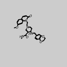 CNC(=O)C1CN(CCn2c(=O)ccc3ccc(OC)cc32)CCC1NCc1ccc2c(c1)OCCO2